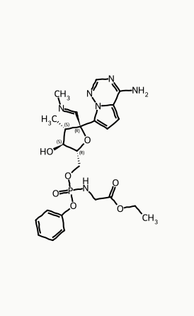 CCOC(=O)CNP(=O)(OC[C@H]1O[C@@](C=NC)(c2ccc3c(N)ncnn23)[C@@H](C)[C@@H]1O)Oc1ccccc1